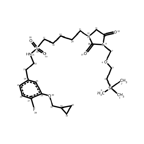 C[Si](C)(C)CCOCN1C(=O)CN(CCCCCS(=O)(=O)NCCc2ccc(F)c(OCC3CC3)c2)C1=O